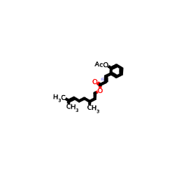 CC(=O)Oc1ccccc1/C=C/C(=O)OCCC(C)CCC=C(C)C